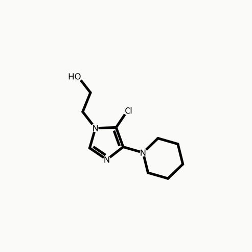 OCCn1cnc(N2CCCCC2)c1Cl